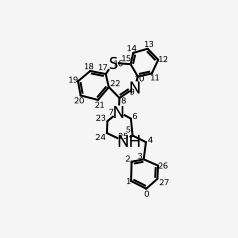 c1ccc(CC2CN(C3=Nc4ccccc4Sc4ccccc43)CCN2)cc1